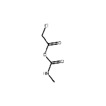 CNC(=O)OC(=O)CCl